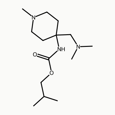 CC(C)COC(=O)NC1(CN(C)C)CCN(C)CC1